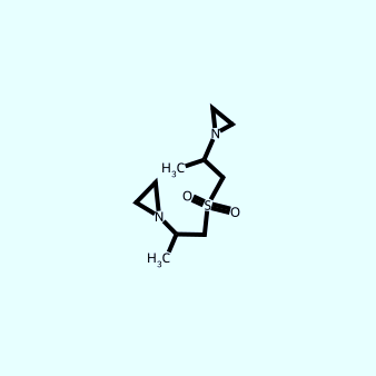 CC(CS(=O)(=O)CC(C)N1CC1)N1CC1